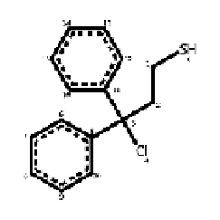 SCCC(Cl)(c1ccccc1)c1ccccc1